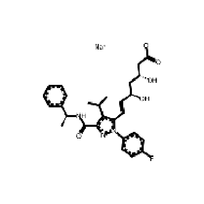 CC(C)c1c(C(=O)N[C@@H](C)c2ccccc2)nn(-c2ccc(F)cc2)c1C=C[C@H](O)C[C@@H](O)CC(=O)[O-].[Na+]